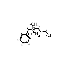 C[Si](C)(CCCCl)Cc1ccccc1